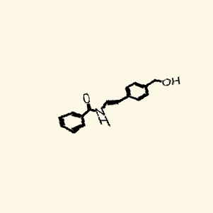 O=C(N/C=C/c1ccc(CO)cc1)c1ccccc1